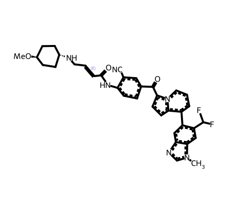 CO[C@H]1CC[C@H](NC/C=C/C(=O)Nc2ccc(C(=O)c3ccc4c(-c5cc6ncn(C)c6cc5C(F)F)cccn34)cc2C#N)CC1